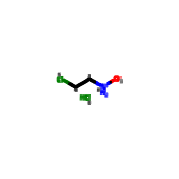 Cl.[O-][NH2+]CCCl